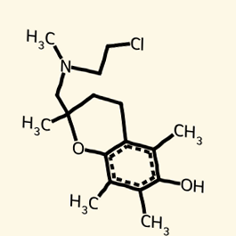 Cc1c(C)c2c(c(C)c1O)CCC(C)(CN(C)CCCl)O2